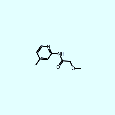 [CH2]c1ccnc(NC(=O)COC)c1